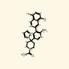 NC(=O)N1CCC(c2cnc(N)c(-c3cc4c(Cl)ccc(F)c4cn3)c2)(n2cccn2)CC1